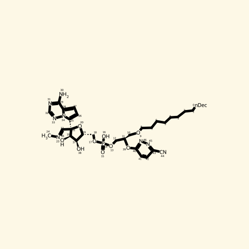 CCCCCCCCCCCCCCCCCCOC[C@H](COP(=O)(O)OC[C@H]1O[C@@](/C=N/C)(c2ccc3c(N)ncnn23)[C@H](O)[C@@H]1O)Oc1ccc(C#N)nn1